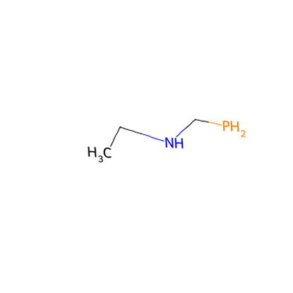 CCNCP